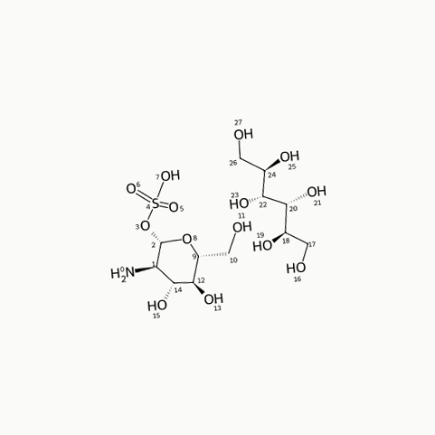 N[C@H]1[C@H](OS(=O)(=O)O)O[C@H](CO)[C@@H](O)[C@@H]1O.OC[C@@H](O)[C@@H](O)[C@H](O)[C@H](O)CO